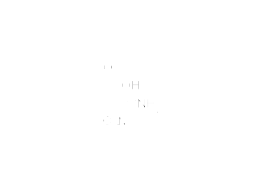 CC(=O)O.Nc1ccon1